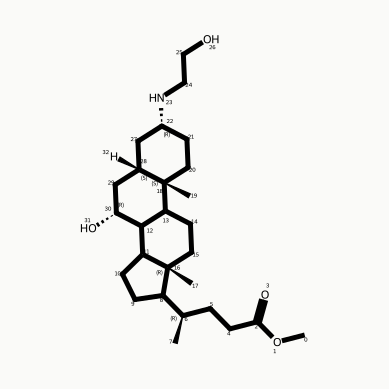 COC(=O)CC[C@@H](C)C1CCC2C3C(CC[C@@]21C)[C@@]1(C)CC[C@@H](NCCO)C[C@H]1C[C@H]3O